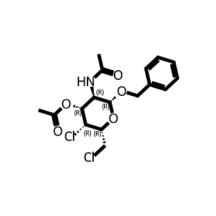 CC(=O)N[C@H]1[C@H](OCc2ccccc2)O[C@H](CCl)[C@H](Cl)[C@@H]1OC(C)=O